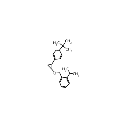 CC(C)c1ccccc1COC1CC1c1ccc(C(C)(C)C)cc1